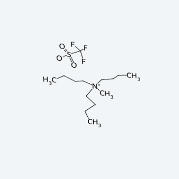 CCCC[N+](C)(CCCC)CCCC.O=S(=O)([O-])C(F)(F)F